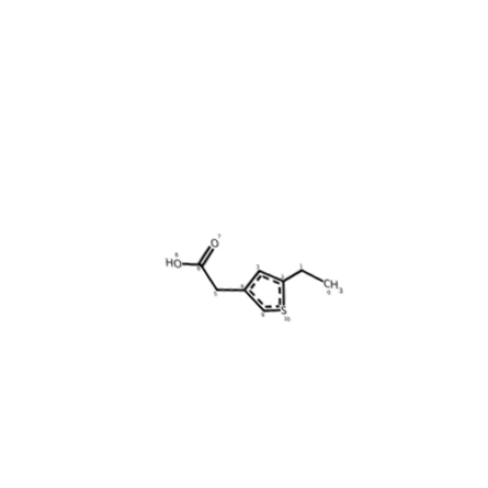 CCc1cc(CC(=O)O)cs1